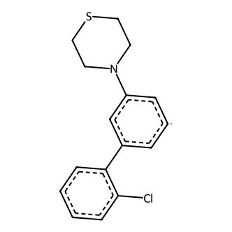 Clc1ccccc1-c1c[c]cc(N2CCSCC2)c1